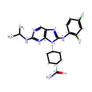 CC(C)Nc1ncc2nc(Nc3ccc(Cl)cc3Cl)n([C@H]3CC[C@@H](C(N)=O)CC3)c2n1